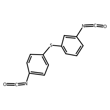 O=C=Nc1ccc(Sc2cccc(N=C=O)c2)cc1